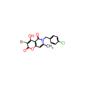 Cc1cc2oc(=O)c(Br)c(O)c2c(=O)n1Cc1ccc(Cl)cc1